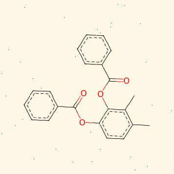 Cc1ccc(OC(=O)c2ccccc2)c(OC(=O)c2ccccc2)c1C